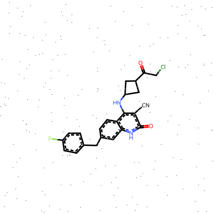 N#Cc1c(NC2CC(C(=O)CCl)C2)c2ccc(Cc3ccc(F)cc3)cc2[nH]c1=O